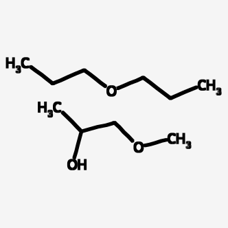 CCCOCCC.COCC(C)O